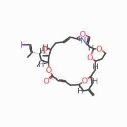 C=C1C[C@@H]2C[C@@H]3CCO[C@@H](O3)c3coc(n3)/C=C/C[C@H]3O[C@@H](/C(C)=C/I)[C@H](C)[C@@H](OC(=O)/C=C/C[C@@H](C1)O2)[C@H]3C